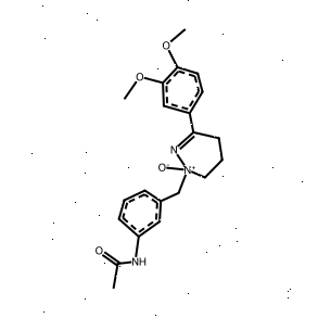 COc1ccc(C2=N[N+]([O-])(Cc3cccc(NC(C)=O)c3)CCC2)cc1OC